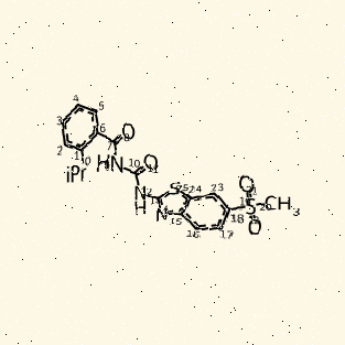 CC(C)c1ccccc1C(=O)NC(=O)Nc1nc2ccc(S(C)(=O)=O)cc2s1